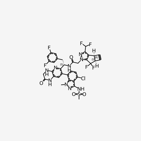 Cn1nc(NS(C)(=O)=O)c2c(Cl)ccc(-c3cc4c(nc3[C@H](Cc3cc(F)cc(F)c3)NC(=O)Cn3nc(C(F)F)c5c3C(F)(F)[C@@H]3C#C[C@H]53)NCC(=O)N4)c21